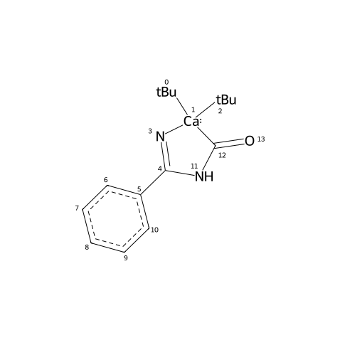 C[C](C)(C)[Ca]1([C](C)(C)C)[N]=C(c2ccccc2)N[C]1=O